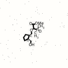 COC(=O)C(OC[C@@H]1CCC[C@@H]1CO)P(C)(C)=O